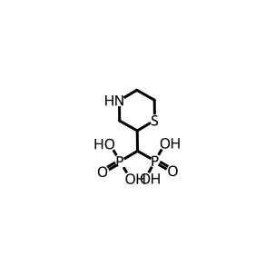 O=P(O)(O)C(C1CNCCS1)P(=O)(O)O